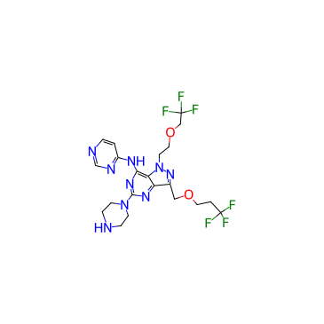 FC(F)(F)CCOCc1nn(CCOCC(F)(F)F)c2c(Nc3ccncn3)nc(N3CCNCC3)nc12